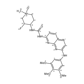 COc1cc(Nc2cnc3ccc(NC(=O)NC4CC[N+](C)([O-])CC4F)nc3n2)cc(OC)c1OC